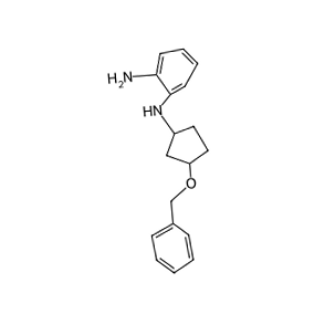 Nc1ccccc1NC1CCC(OCc2ccccc2)C1